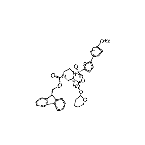 CCOc1ccc(-c2ccc(S(=O)(=O)N3CCN(C(=O)OCC4c5ccccc5-c5ccccc54)C[C@@H]3C(=O)NOC3CCCCO3)s2)cc1